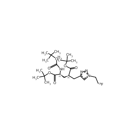 CC(C)(C)OC(=O)N[C@@H](C[C@H](Cc1cn(CC[18F])nn1)C(=O)OC(C)(C)C)C(=O)OC(C)(C)C